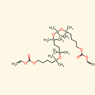 C=COC(=O)OCCCC[Si](C)(C)O[Si](C)(C)CC[Si](C)(C)O[Si](C)(C)O[Si](C)(C)CCCCOC(=O)OC=C